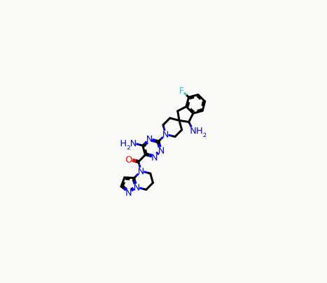 Nc1nc(N2CCC3(CC2)Cc2c(F)cccc2C3N)nnc1C(=O)N1CCCn2nccc21